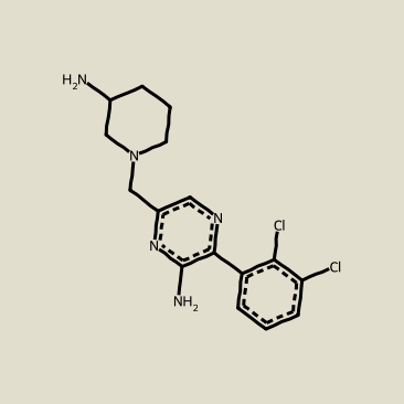 Nc1nc(CN2CCCC(N)C2)cnc1-c1cccc(Cl)c1Cl